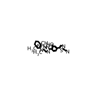 CN(c1cnc(-c2ccc(-c3cnc(C#N)s3)cc2O)nn1)[C@H]1C[C@]2(C)CCC[C@](C)(C1)N2